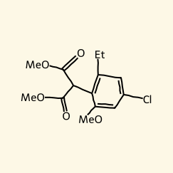 CCc1cc(Cl)cc(OC)c1C(C(=O)OC)C(=O)OC